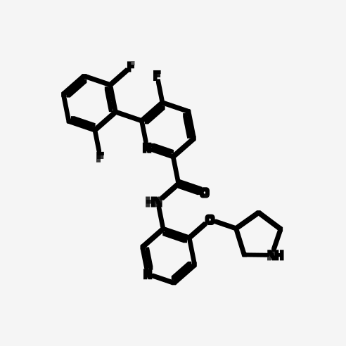 O=C(Nc1cnccc1OC1CCNC1)c1ccc(F)c(-c2c(F)cccc2F)n1